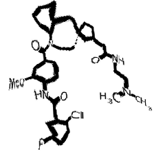 COc1cc(C(=O)N2CC[C@@]3(CCC(=CC(=O)NCCN(C)C)C3)Cc3ccccc32)ccc1NC(=O)c1cc(F)ccc1Cl